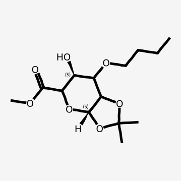 CCCCOC1C2OC(C)(C)O[C@@H]2OC(C(=O)OC)[C@H]1O